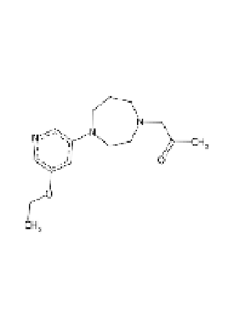 CCOc1cncc(N2CCCN(CC(C)=O)CC2)c1